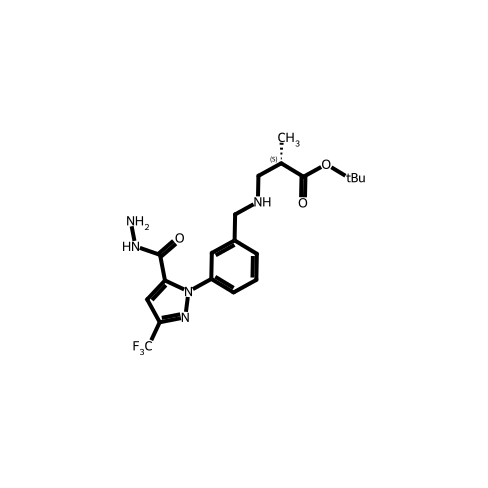 C[C@@H](CNCc1cccc(-n2nc(C(F)(F)F)cc2C(=O)NN)c1)C(=O)OC(C)(C)C